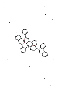 c1ccc(-c2ccc(N(c3ccc(-c4cc5ccccc5c5ccccc45)cc3)c3ccccc3-c3ccc4ccccc4c3)c(-c3ccccc3)c2)cc1